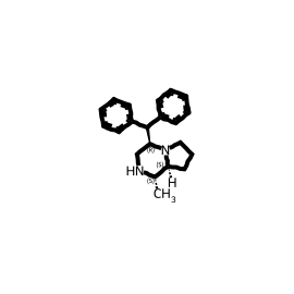 C[C@@H]1NC[C@@H](C(c2ccccc2)c2ccccc2)N2CCC[C@@H]12